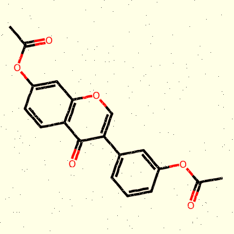 CC(=O)Oc1cccc(-c2coc3cc(OC(C)=O)ccc3c2=O)c1